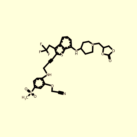 CS(=O)(=O)c1ccc(NCC#Cc2sc3c(NC4CCN(CC5COC(=O)O5)CC4)cccc3c2CC(F)(F)F)c(OCC#N)c1